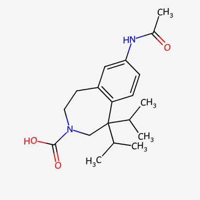 CC(=O)Nc1ccc2c(c1)CCN(C(=O)O)CC2(C(C)C)C(C)C